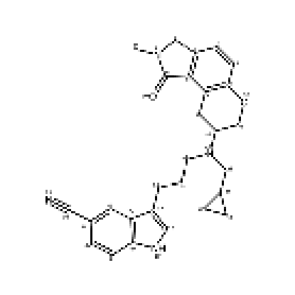 CN1Cc2ccc3c(c2C1=O)CC(N(CCCc1c[nH]c2ccc(C#N)cc12)CC1CC1)CO3